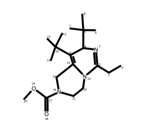 CCC1=NC(C(C)(C)C)C(C(C)(C)C)=C2CN(C(=O)OC)CCN12